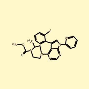 CC1CN(c2ncnc3c2c(-c2ccccc2F)cn3-c2ccccn2)CCN1C(=O)OC(C)(C)C